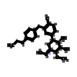 CCOc1ccc(Cc2cc([C@@H]3O/C(=N\O)[C@@H](OC)[C@H](O)[C@H]3O)ccc2Cl)cc1